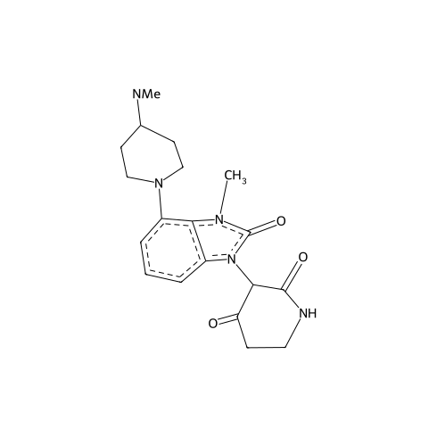 CNC1CCN(c2cccc3c2n(C)c(=O)n3C2C(=O)CCNC2=O)CC1